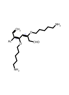 C=C/C(C(C)=O)=C(\C=C(/CC=O)OCCCCCN)OCCCCCN